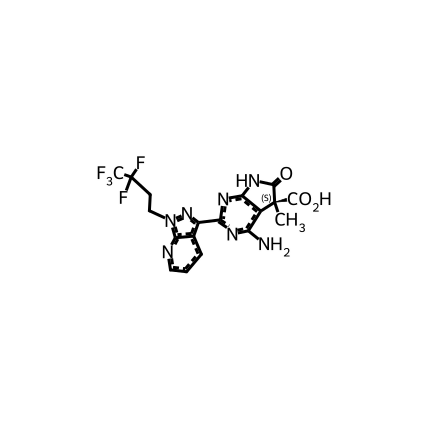 C[C@@]1(C(=O)O)C(=O)Nc2nc(-c3nn(CCC(F)(F)C(F)(F)F)c4ncccc34)nc(N)c21